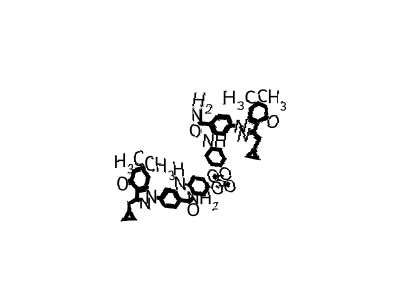 CC1(C)CC(=O)c2c(CC3CC3)nn(-c3ccc(C(N)=O)c(N[C@H]4CC[C@H](OS(=O)(=O)O[C@H]5CC[C@H](Nc6cc(-n7nc(CC8CC8)c8c7CC(C)(C)CC8=O)ccc6C(N)=O)CC5)CC4)c3)c2C1